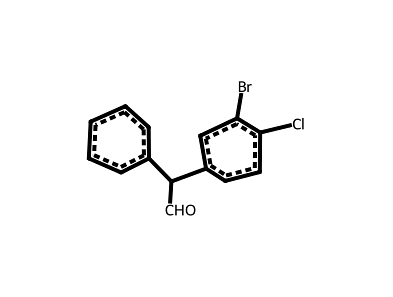 O=CC(c1ccccc1)c1ccc(Cl)c(Br)c1